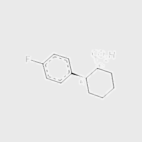 O=C(O)[C@@H]1CCCC[C@H]1c1ccc(F)cc1